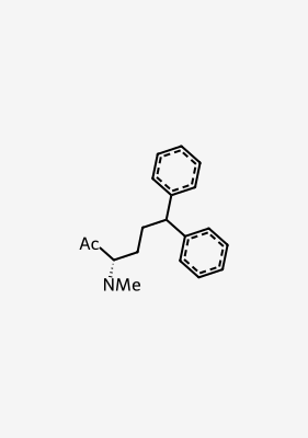 CN[C@@H](CCC(c1ccccc1)c1ccccc1)C(C)=O